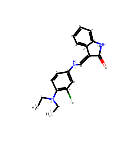 CCN(CC)c1ccc(N/C=C2/C(=O)Nc3ccccc32)cc1F